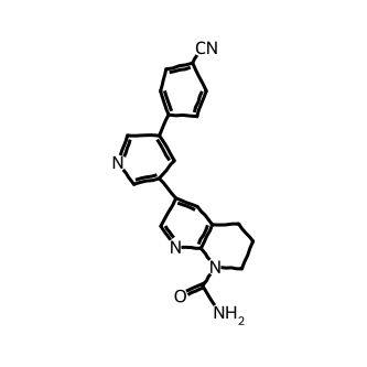 N#Cc1ccc(-c2cncc(-c3cnc4c(c3)CCCN4C(N)=O)c2)cc1